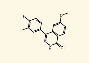 COc1ccc2c(=O)[nH]cc(-c3ccc(F)c(F)c3)c2c1